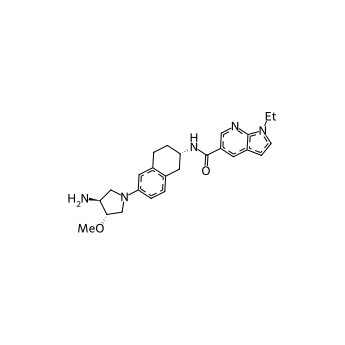 CCn1ccc2cc(C(=O)N[C@H]3CCc4cc(N5C[C@H](OC)[C@@H](N)C5)ccc4C3)cnc21